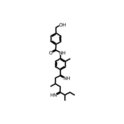 CCC(C)C(=N)CC(C)CC(=N)c1ccc(NC(=O)c2ccc(CO)cc2)c(C)c1